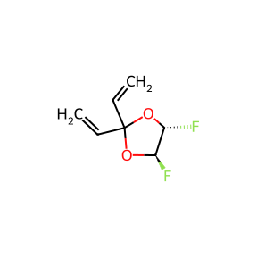 C=CC1(C=C)O[C@H](F)[C@@H](F)O1